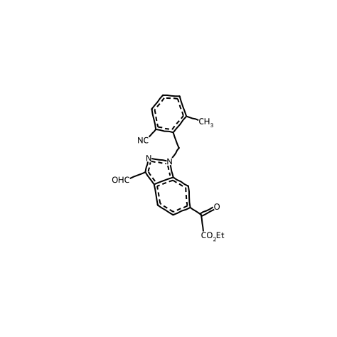 CCOC(=O)C(=O)c1ccc2c(C=O)nn(Cc3c(C)cccc3C#N)c2c1